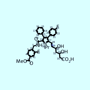 COC(=O)c1ccc(CNC(=O)c2c(-c3ccccc3)c(-c3ccc(F)cc3)c(/C=C/C(O)CC(O)CC(=O)O)n2C(C)C)c(F)c1